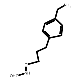 NCc1ccc(CCCONC=O)cc1